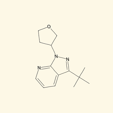 CC(C)(C)c1nn(C2CCOC2)c2ncccc12